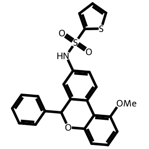 COc1cccc2c1-c1ccc(NS(=O)(=O)c3cccs3)cc1C(c1ccccc1)O2